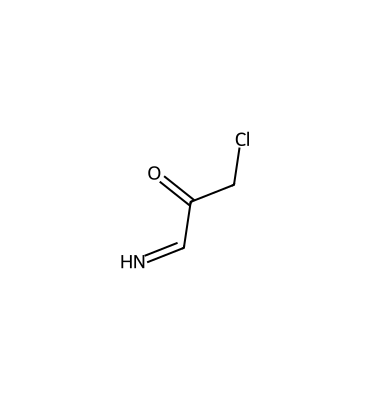 N=CC(=O)CCl